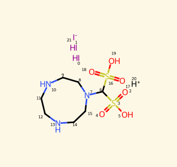 I.I.O=S(=O)(O)C(N1CCNCCNCC1)S(=O)(=O)O.[H+].[I-]